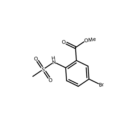 COC(=O)c1cc(Br)ccc1NS(C)(=O)=O